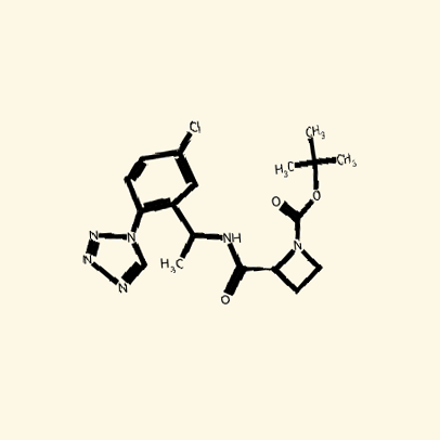 CC(NC(=O)[C@@H]1CCN1C(=O)OC(C)(C)C)c1cc(Cl)ccc1-n1cnnn1